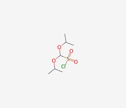 CC(C)OC(OC(C)C)S(=O)(=O)Cl